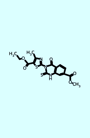 CCOC(=O)c1sc(-n2c(=S)[nH]c3cc(C(=O)OC)ccc3c2=O)nc1C